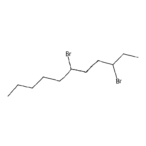 CCCCCC(Br)CCC(Br)CC